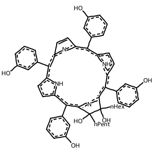 CCCCCCC1(O)c2nc(c(-c3cccc(O)c3)c3ccc([nH]3)c(-c3cccc(O)c3)c3nc(c(-c4cccc(O)c4)c4ccc([nH]4)c2-c2cccc(O)c2)C=C3)C1(O)CCCCC